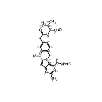 CCCCCNc1nc(N)nc2ccn(Cc3ccc(CC(=O)OC(C=O)N(C)C)cc3OC)c12